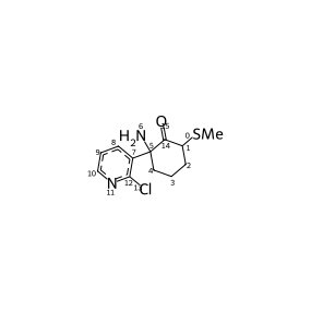 CSC1CCCC(N)(c2cccnc2Cl)C1=O